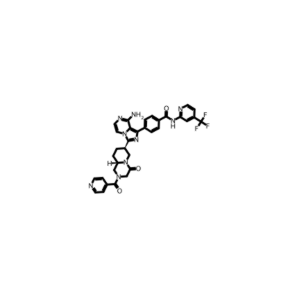 Nc1nccn2c([C@@H]3CC[C@H]4CN(C(=O)c5ccncc5)CC(=O)N4C3)nc(-c3ccc(C(=O)Nc4cc(C(F)(F)F)ccn4)cc3)c12